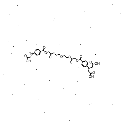 CN(CC(=O)O)c1ccc(C(=O)OCC(=O)OCCOCCOC(=O)COC(=O)c2ccc(N(CC(=O)O)CC(=O)O)cc2)cc1